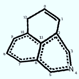 C1=Cc2cncc3cccc(c23)C1